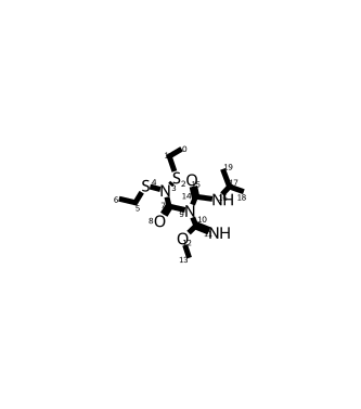 CCSN(SCC)C(=O)N(C(=N)OC)C(=O)NC(C)C